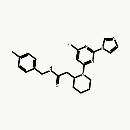 Cc1ccc(CNC(=O)CC2CCCCN2c2cc(C(C)C)nc(-n3ccnc3)n2)cc1